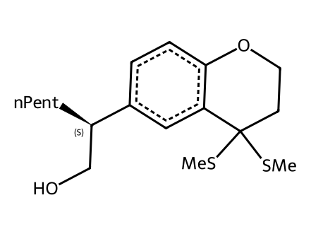 CCCCC[C@H](CO)c1ccc2c(c1)C(SC)(SC)CCO2